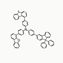 c1ccc(C2(c3ccccc3)c3ccccc3-c3cc(-c4ccc(N(c5ccc(-c6cccc7c6oc6ccccc67)cc5)c5ccc(-c6cccc7sc8ccccc8c67)cc5)cc4)ccc32)cc1